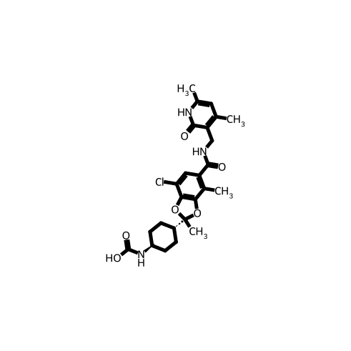 Cc1cc(C)c(CNC(=O)c2cc(Cl)c3c(c2C)OC(C)([C@H]2CC[C@H](NC(=O)O)CC2)O3)c(=O)[nH]1